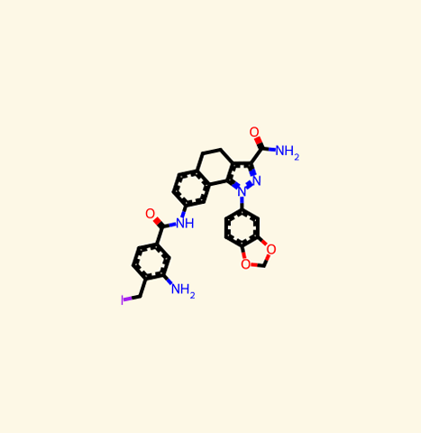 NC(=O)c1nn(-c2ccc3c(c2)OCO3)c2c1CCc1ccc(NC(=O)c3ccc(CI)c(N)c3)cc1-2